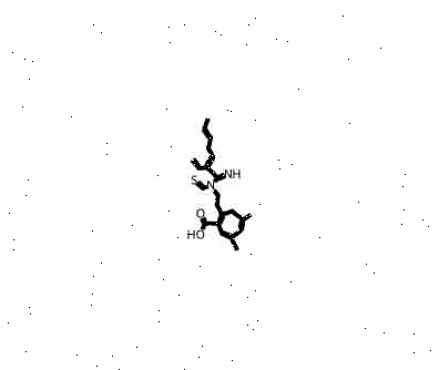 C=C/C(=C\CC=CC)C(=N)N(C=S)CCC1=C(C(=O)O)C=C(C)C=C(C)C1